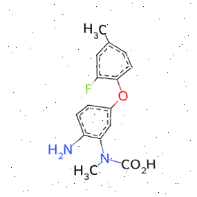 Cc1ccc(Oc2ccc(N)c(N(C)C(=O)O)c2)c(F)c1